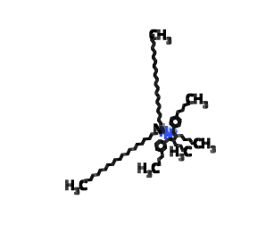 CCCCCC1=C(c2ccc(CCCCC)cc2)[N+](=[N-])C(c2cccc(CCCC)c2)=C1CCCC.CCCCCCCCCCCCCCCCCCCC[CH2][Ni][CH2]CCCCCCCCCCCCCCCCCCCC